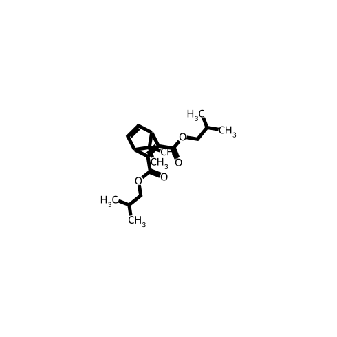 CC(C)COC(=O)C1=C(C(=O)OCC(C)C)C2C=CC1C2(C)C